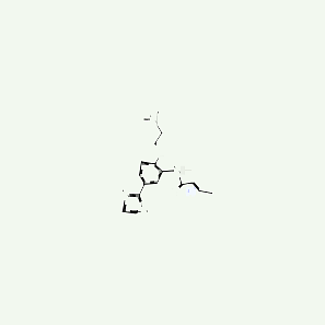 C/C=C/C(=O)Nc1cc(-c2ncc[nH]2)ccc1OCCN(C)C